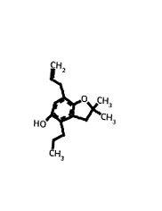 C=CCc1cc(O)c(CCC)c2c1OC(C)(C)C2